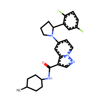 N#CC1CCC(NC(=O)c2cnn3ccc(N4CCCC4c4cc(F)ccc4F)cc23)CC1